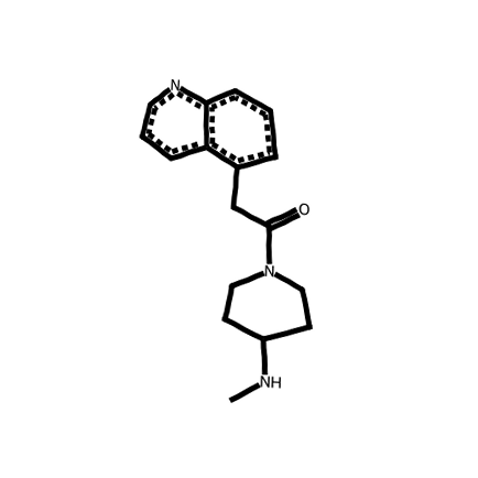 CNC1CCN(C(=O)Cc2cccc3ncccc23)CC1